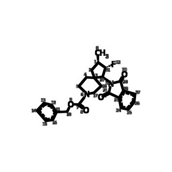 C[C@@H]1CC2(CCN(C(=O)OCc3ccccc3)CC2)[C@H](N2C(=O)c3ccccc3C2=O)[C@H]1F